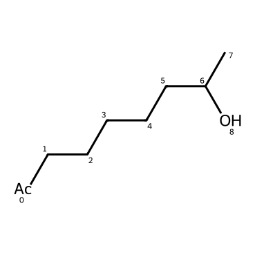 CC(=O)CCCCCC(C)O